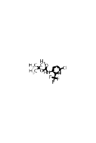 CC(C)(C)OC(=O)Nc1ccc(Cl)nc1C(F)(F)F